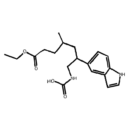 CCOC(=O)CCC(C)CC(CNC(=O)O)c1ccc2[nH]ccc2c1